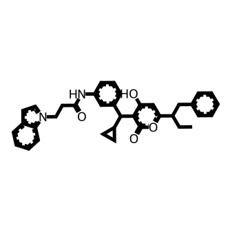 CCC(Cc1ccccc1)c1cc(O)c(C(c2cccc(NC(=O)CCn3ccc4ccccc43)c2)C2CC2)c(=O)o1